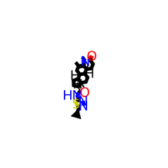 CC1=C2N(C)C(=O)CC[C@]2(C)[C@H]2CC[C@]3(C)[C@@H](C(=O)Nc4nnc(C5CC5)s4)CC[C@H]3[C@@H]2C1